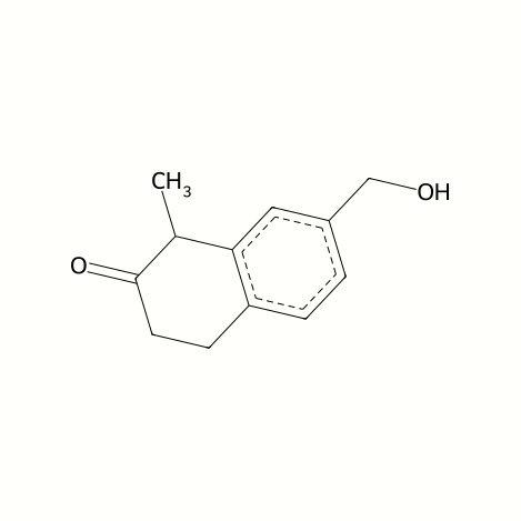 CC1C(=O)CCc2ccc(CO)cc21